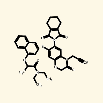 C#CCN1C(=O)COc2cc(F)c(N3C(=O)C4=C(CCCC4)C3=O)cc21.CCN(CC)C(=O)C(C)Oc1cccc2ccccc12